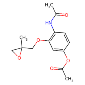 CC(=O)Nc1ccc(OC(C)=O)cc1OCC1(C)CO1